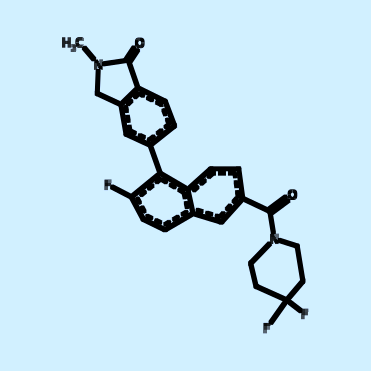 CN1Cc2cc(-c3c(F)ccc4cc(C(=O)N5CCC(F)(F)CC5)ccc34)ccc2C1=O